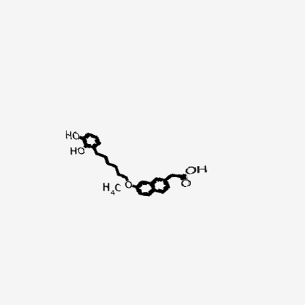 C.O=C(O)Cc1ccc2ccc(OCCCCCCc3cccc(O)c3O)cc2c1